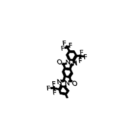 Cc1cc(C(F)(F)F)c2nc3c4cc5c(=O)n6c7cc(C(F)(F)F)cc(C(F)(F)F)c7nc6c5cc4c(=O)n3c2c1